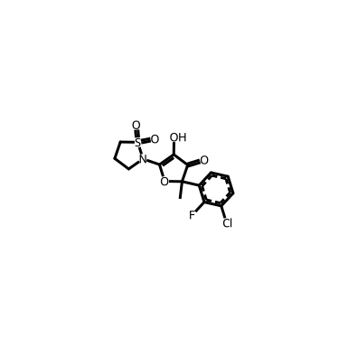 CC1(c2cccc(Cl)c2F)OC(N2CCCS2(=O)=O)=C(O)C1=O